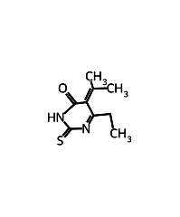 CCC1=NC(=S)NC(=O)C1=C(C)C